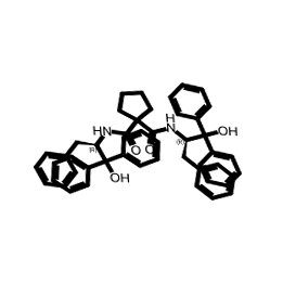 O=C(N[C@H](Cc1ccccc1)C(O)(c1ccccc1)c1ccccc1)C1(C(=O)N[C@H](Cc2ccccc2)C(O)(c2ccccc2)c2ccccc2)CCCC1